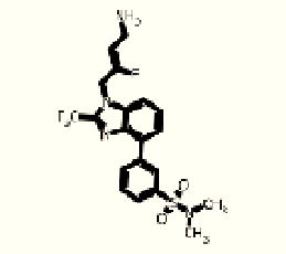 CN(C)S(=O)(=O)c1cccc(-c2cccc3c2nc(C(F)(F)F)n3C/C(F)=C/CN)c1